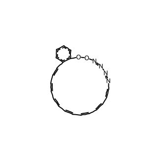 C1=CC=CC=CC=Cc2ccccc2OON=NN=NC=CC=CC=C1